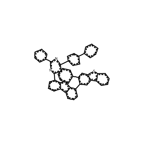 c1ccc(-c2ccc(-c3nc(-c4ccccc4)nc(-c4cccc5c4oc4c(-c6cc7c(cc6-c6ccccc6)sc6ccccc67)cccc45)n3)cc2)cc1